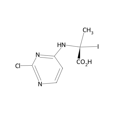 C[C@](I)(Nc1ccnc(Cl)n1)C(=O)O